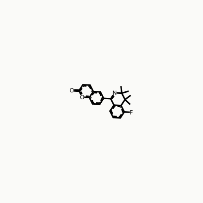 CC1(C)N=C(c2ccc3oc(=O)ccc3c2)c2cccc(F)c2C1(C)C